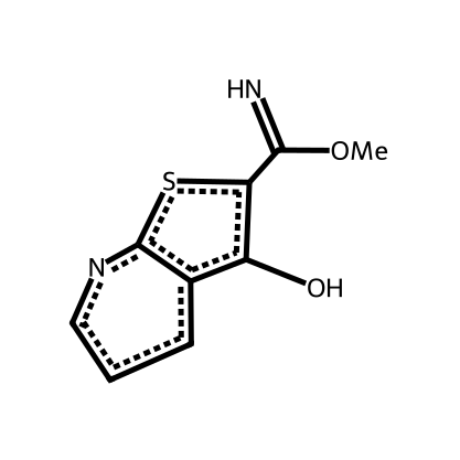 COC(=N)c1sc2ncccc2c1O